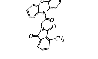 Cc1cccc2c1C(=O)N(CC(=O)N1c3ccccc3Oc3ccccc31)C2=O